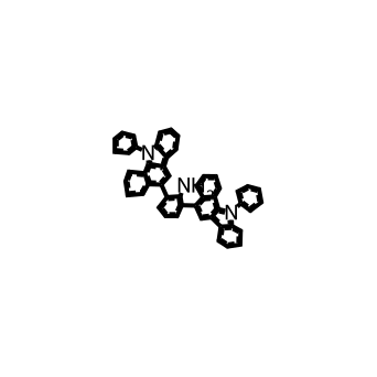 Nc1c(-c2cc3c4ccccc4n(-c4ccccc4)c3c3ccccc23)cccc1-c1cc2c3ccccc3n(-c3ccccc3)c2c2ccccc12